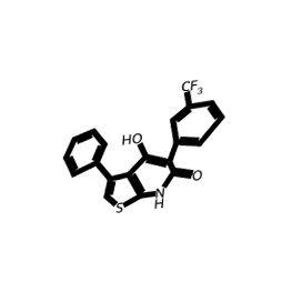 O=c1[nH]c2scc(-c3ccccc3)c2c(O)c1-c1cccc(C(F)(F)F)c1